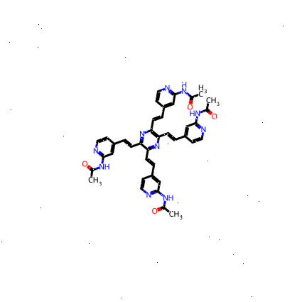 CC(=O)Nc1cc(C=Cc2nc(C=Cc3ccnc(NC(C)=O)c3)c(C=Cc3ccnc(NC(C)=O)c3)nc2C=Cc2ccnc(NC(C)=O)c2)ccn1